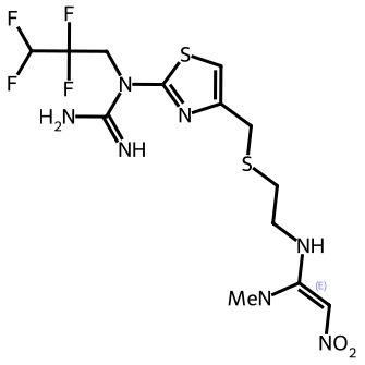 CN/C(=C\[N+](=O)[O-])NCCSCc1csc(N(CC(F)(F)C(F)F)C(=N)N)n1